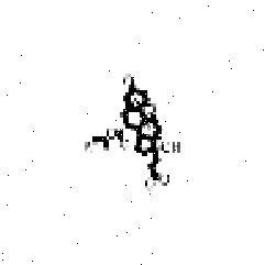 CC(C)OC(=O)[C@@H]1CC2=CC(=O)CC[C@]2(C)[C@@]23O[C@@H]2C[C@@]2(C)C(CC[C@@]2(O)CCC(=O)[O-])C13.[K+]